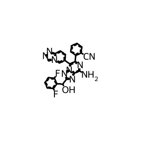 N#Cc1ccccc1-c1nc(N)c2nc(C(O)c3c(F)cccc3F)nn2c1-c1ccc2nncn2c1